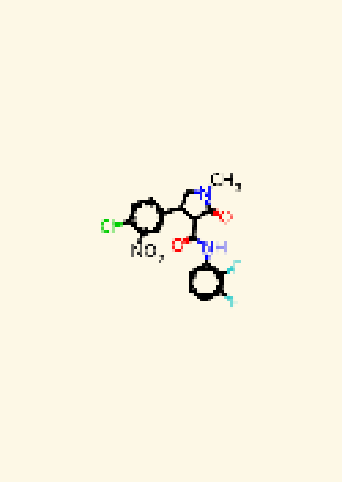 CN1CC(c2ccc(Cl)c([N+](=O)[O-])c2)C(C(=O)Nc2cccc(F)c2F)C1=O